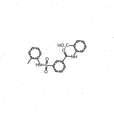 Cc1ccccc1NS(=O)(=O)c1cccc(C(=O)Nc2ccccc2C(=O)O)c1